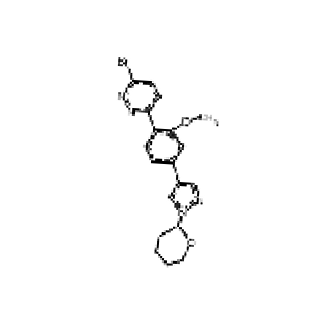 COc1cc(-c2cnn(C3CCCCO3)c2)ccc1-c1ccc(Br)nn1